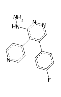 NNc1nncc(-c2ccc(F)cc2)c1-c1ccncc1